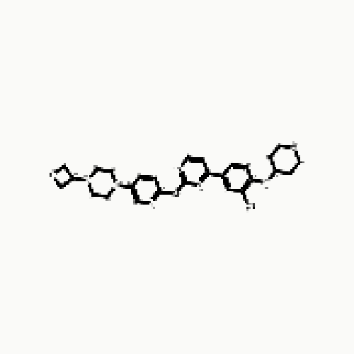 N#Cc1cc(-c2ccnc(Nc3ccc(N4CCN(C5COC5)CC4)cn3)n2)ccc1OC1CCOCC1